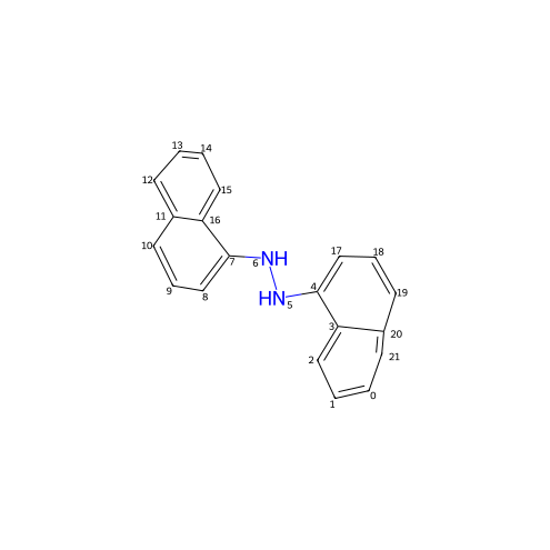 c1ccc2c(NNc3cccc4ccccc34)cccc2c1